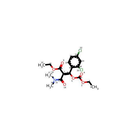 CCOC(=O)OC(=C(C(=O)OCC)C(=O)N(C)C)c1ccc(Cl)cc1Cl